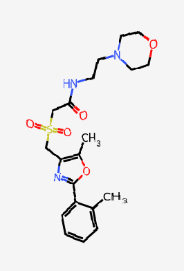 Cc1ccccc1-c1nc(CS(=O)(=O)CC(=O)NCCN2CCOCC2)c(C)o1